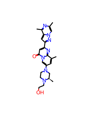 Cc1cn2nc(-c3cc(=O)n4cc(N5CCN(CCO)[C@H](C)C5)cc(C)c4n3)cc2c(C)n1